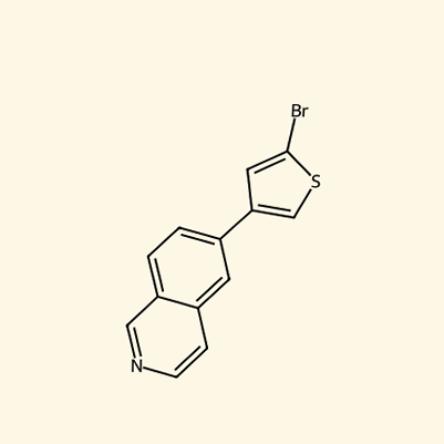 Brc1cc(-c2ccc3cnccc3c2)cs1